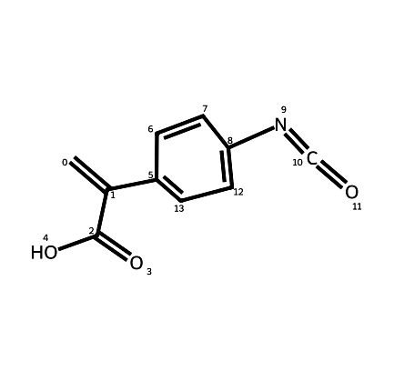 C=C(C(=O)O)c1ccc(N=C=O)cc1